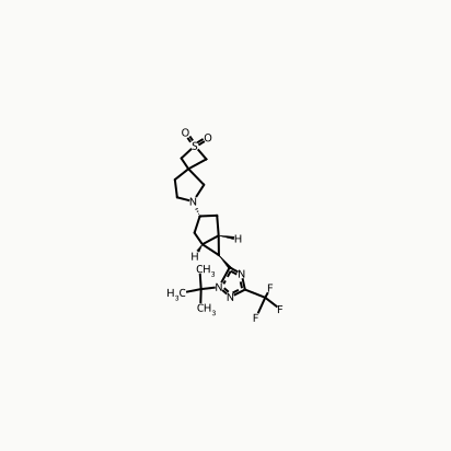 CC(C)(C)n1nc(C(F)(F)F)nc1[C@H]1[C@@H]2C[C@H](N3CCC4(C3)CS(=O)(=O)C4)C[C@@H]21